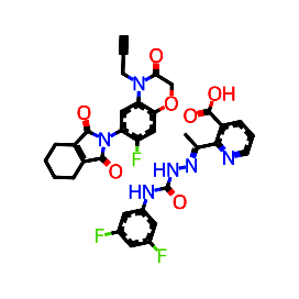 C#CCN1C(=O)COc2cc(F)c(N3C(=O)C4=C(CCCC4)C3=O)cc21.C/C(=N\NC(=O)Nc1cc(F)cc(F)c1)c1ncccc1C(=O)O